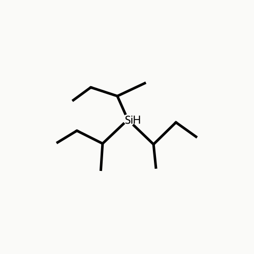 CCC(C)[SiH](C(C)CC)C(C)CC